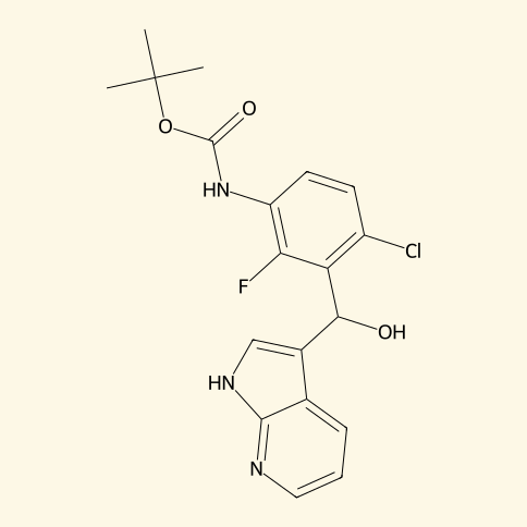 CC(C)(C)OC(=O)Nc1ccc(Cl)c(C(O)c2c[nH]c3ncccc23)c1F